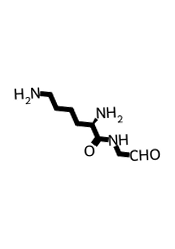 NCCCC[C@@H](N)C(=O)NCC=O